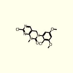 COc1cc(OC)c(Cl)c(N2Cc3cnc(Cl)nc3N(C)C2=O)c1